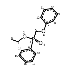 CCOP(=O)(COc1ccccc1)c1ccccc1